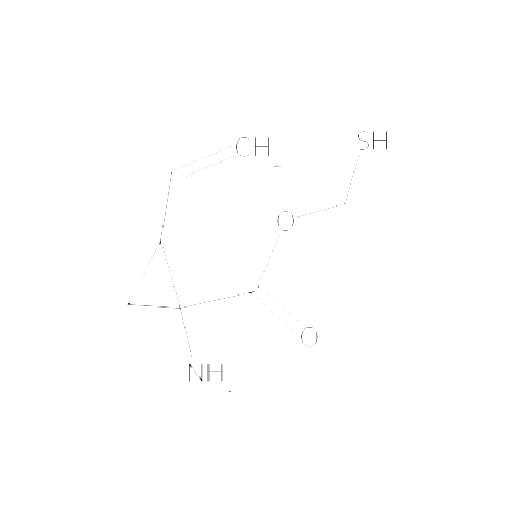 C=CC1CC1(N)C(=O)OCS